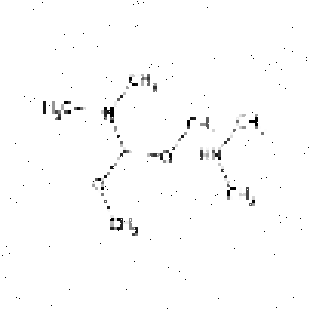 CNC.COC(OC)N(C)C